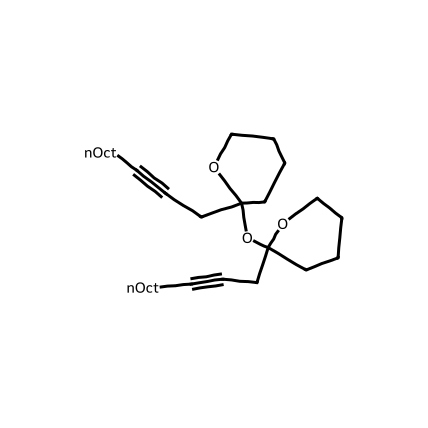 CCCCCCCCC#CCC1(OC2(CC#CCCCCCCCC)CCCCO2)CCCCO1